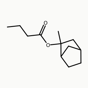 CCCC(=O)OC1(C)CC2CCC1C2